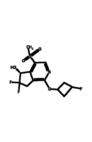 CS(=O)(=O)c1cnc(OC2CC(F)C2)c2c1[C@H](O)C(F)(F)C2